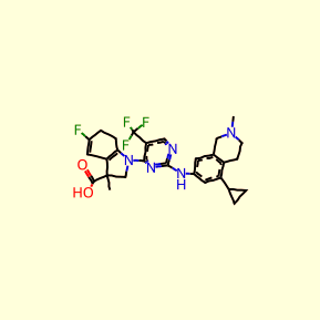 CN1CCc2c(cc(Nc3ncc(C(F)(F)F)c(N4CC(C)(C(=O)O)C5=C4CCC(F)=C5)n3)cc2C2CC2)C1